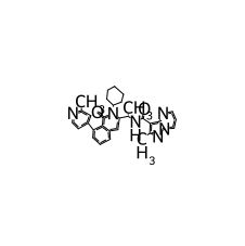 Cc1cc(-c2cccc3cc([C@H](C)NC(=O)c4c(C)nn5cccnc45)n(C4CCCCC4)c(=O)c23)ccn1